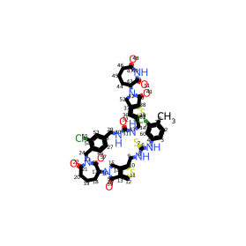 Cc1ccc(NC(=S)NCc2scc3c2CN(C2CCCC(=O)N(Cc4ccc(CNC(=O)NCc5cc6c(s5)C(=O)N(C5CCCC(=O)NC5=O)C6)cc4Cl)C2=O)C3=O)cc1Cl